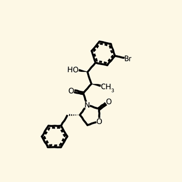 C[C@@H](C(=O)N1C(=O)OC[C@@H]1Cc1ccccc1)[C@@H](O)c1cccc(Br)c1